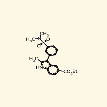 CCOC(=O)c1ccc2[nH]c(C)c(-c3cccc(S(=O)(=O)N(C)C)c3)c2c1